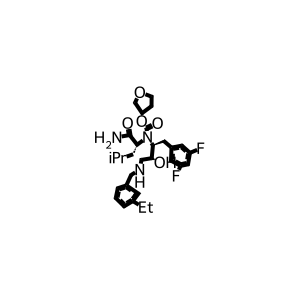 CCc1cccc(CNC[C@@H](O)[C@H](Cc2cc(F)cc(F)c2)N(C(=O)O[C@H]2CCOC2)[C@H](CC(C)C)C(N)=O)c1